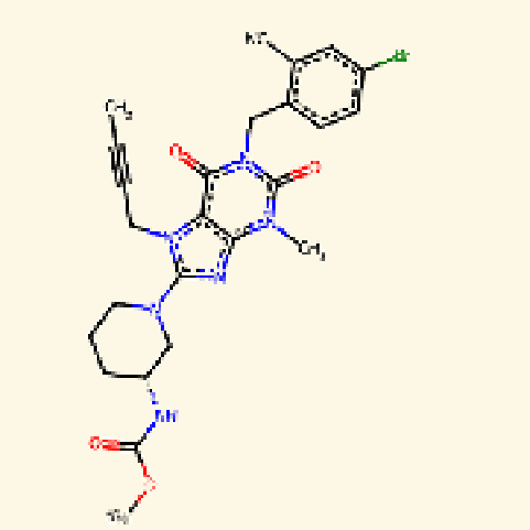 CC#CCn1c(N2CCC[C@@H](NC(=O)OC(C)(C)C)C2)nc2c1c(=O)n(Cc1ccc(Br)cc1C#N)c(=O)n2C